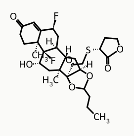 CCCC1O[C@@H]2C[C@H]3[C@@H]4C[C@H](F)C5=CC(=O)CC[C@]5(C)[C@@]4(F)[C@@H](O)C[C@]3(C)[C@]2(C(=O)CS[C@@H]2CCOC2=O)O1